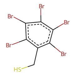 SCc1c(Br)c(Br)c(Br)c(Br)c1Br